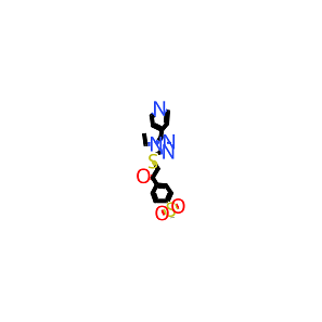 CCn1c(SCC(=O)c2ccc(S(C)(=O)=O)cc2)nnc1-c1ccncc1